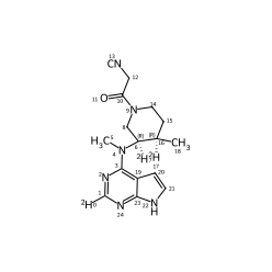 [2H]c1nc(N(C)[C@@]2([2H])CN(C(=O)C[N+]#[C-])CC[C@@]2([2H])C)c2cc[nH]c2n1